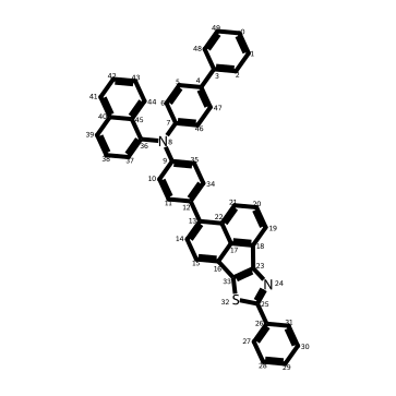 c1ccc(-c2ccc(N(c3ccc(-c4ccc5c6c(cccc46)-c4nc(-c6ccccc6)sc4-5)cc3)c3cccc4ccccc34)cc2)cc1